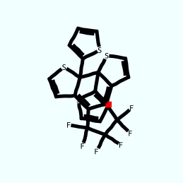 FC1(F)C2=C3C=CSC3(c3cccs3)C3(c4cccs4)SC=CC3=C2C(F)(F)C1(F)F